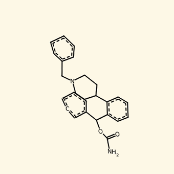 NC(=O)OC(c1ccccc1)c1ccccc1C1CCN(Cc2ccccc2)CC1